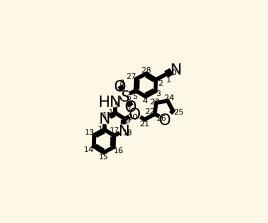 N#Cc1ccc(S(=O)(=O)Nc2nc3ccccc3nc2OCC2CCCO2)cc1